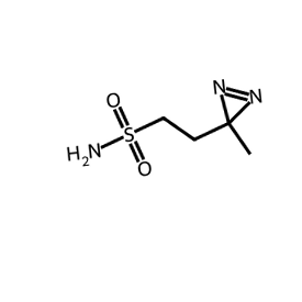 CC1(CCS(N)(=O)=O)N=N1